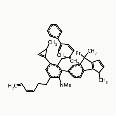 C=C/C=C\CCc1cc(C2=CC2C)c(CC(=C)/C=C\C(=C/C)c2ccccc2)c(-c2ccc3c(c2)C(C)(CC)C2=C3C(C)C=C2)c1NC